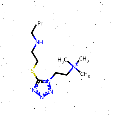 CC(C)CNCCSc1nnnn1CC[N+](C)(C)C